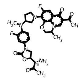 CC(=O)[C@@H](N)C1CN(c2ccc(N(C)C3CCN(c4c(F)cc5c(=O)c(C(=O)O)cn6c5c4OCC6C)C3)c(F)c2)C(=O)O1